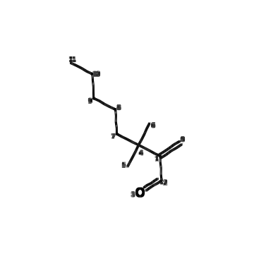 C=C([C]=O)C(C)(C)CCCCC